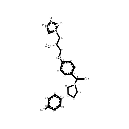 O=C(c1ccc(OC[C@H](O)Cn2cnnn2)cc1)N1CC[C@H](c2ccc(F)cc2)C1